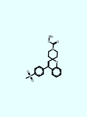 CC(C)(C)OC(=O)N1CCC2(C=C(c3ccc(S(C)(=O)=O)cc3)c3ccccc3O2)CC1